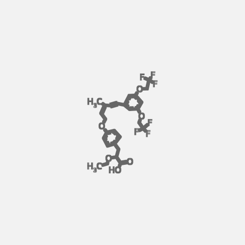 CCOC(Cc1ccc(OCC=C(C)C#Cc2cc(OCC(F)(F)F)cc(OCC(F)(F)F)c2)cc1)C(=O)O